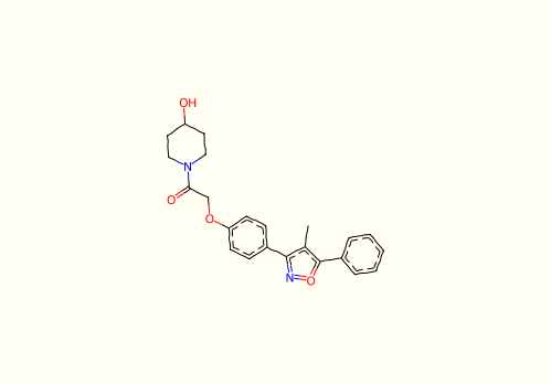 Cc1c(-c2ccc(OCC(=O)N3CCC(O)CC3)cc2)noc1-c1ccccc1